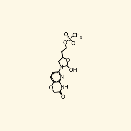 CS(=O)(=O)OCCC1CN(c2ccc3c(n2)NC(=O)CO3)C(O)O1